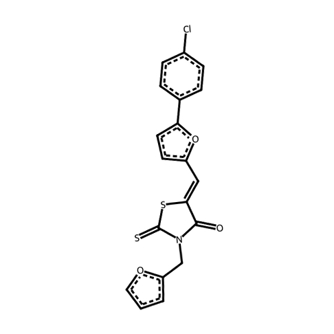 O=C1C(=Cc2ccc(-c3ccc(Cl)cc3)o2)SC(=S)N1Cc1ccco1